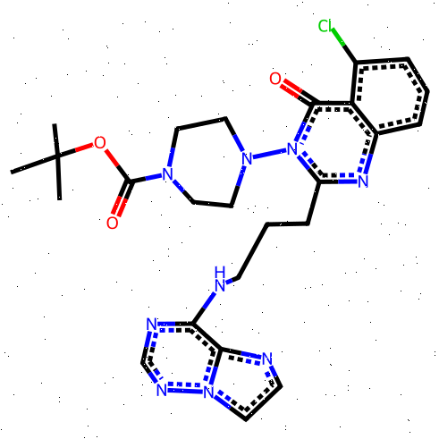 CC(C)(C)OC(=O)N1CCN(n2c(CCCNc3ncnn4ccnc34)nc3cccc(Cl)c3c2=O)CC1